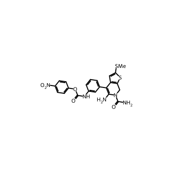 CSc1cc2c(s1)CN(C(N)=O)C(N)=C2c1cccc(NC(=O)Oc2ccc([N+](=O)[O-])cc2)c1